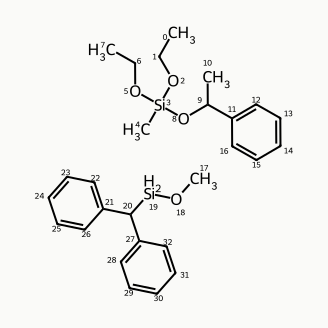 CCO[Si](C)(OCC)OC(C)c1ccccc1.CO[SiH2]C(c1ccccc1)c1ccccc1